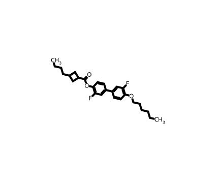 CCCCCCOc1ccc(-c2ccc(OC(=O)C3CC(CCCC)C3)c(F)c2)cc1F